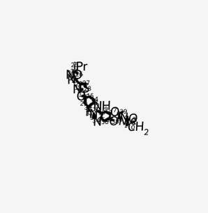 C=CC(=O)N1CC(Oc2cc3c(Nc4ccc(Oc5nc(-c6nnc(C(C)C)o6)cs5)cc4F)ncnc3cc2OC)C1